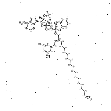 CC1(C)O[C@H]2[C@H](c3ccc4c(N)ncnn34)O[C@](C#N)(COP(=O)(OC[C@@H](CCCCCCCCCCCCCCCCCCC(F)(F)F)OCc3cc(F)cc(C#N)c3)Oc3ccccc3Cl)[C@H]2O1